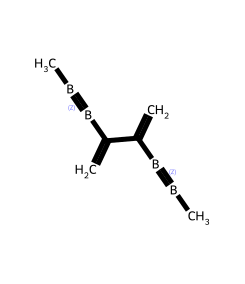 C=C(/B=B\C)C(=C)/B=B\C